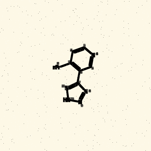 CCCc1ccncc1-c1nn[nH]n1